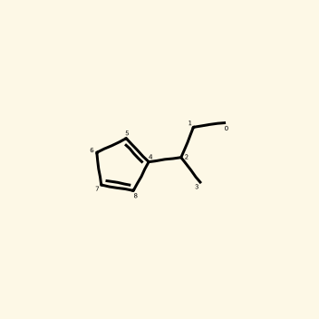 CCC(C)C1=CCC=C1